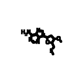 COC1CC(n2cnc3c(N)ncnc32)OC1CSC